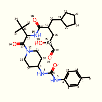 Cc1ccc(NC(=O)NC2CCN(C(=O)C(NC(=O)C(CC3CCCC3)C[As](O)C=O)C(C)(C)C)CC2)cc1